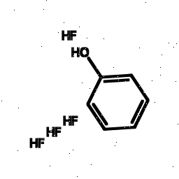 F.F.F.F.Oc1ccccc1